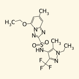 CCOc1cc(C)cc2nc(S(=O)(=O)Nc3c(C(F)(F)F)nn(CC)c3C)nn12